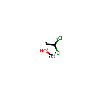 CC(Cl)Cl.CCO